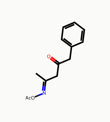 CC(=O)O/N=C(\C)CC(=O)Cc1ccccc1